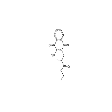 BC1=C(CC(C)C(=O)OCC)C(=C)c2ccccc2C1=O